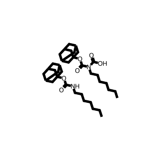 CCCCCCCN(C(=O)O)C(=O)OC12CC3CC(CC(C3)C1)C2.CCCCCCCNC(=O)OC12CC3CC(CC(C3)C1)C2